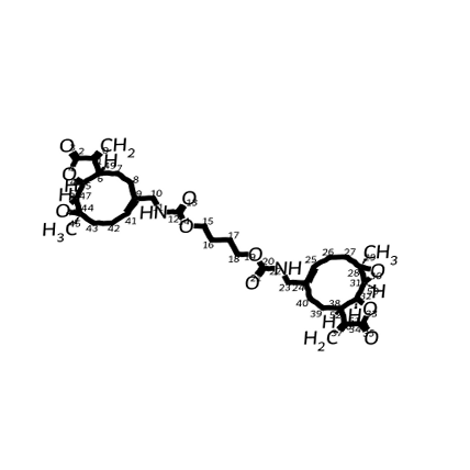 C=C1C(=O)O[C@H]2[C@H]1CC/C(CNC(=O)OCCCCOC(=O)NC/C1=C/CC[C@@]3(C)O[C@H]3[C@H]3OC(=O)C(=C)[C@@H]3CC1)=C\CC[C@@]1(C)O[C@@H]21